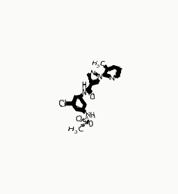 Cc1cccnc1-n1cc(C(=O)Nc2cc(Cl)cc(NS(C)(=O)=O)c2)cn1